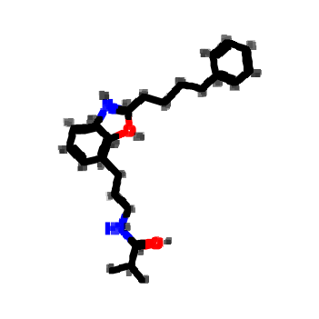 CC(C)C(=O)NCCCc1cccc2nc(CCCCc3ccccc3)oc12